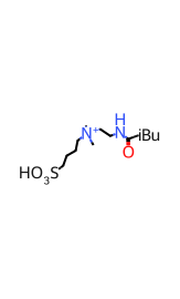 CCC(C)C(=O)NCC[N+](C)(C)CCCCS(=O)(=O)O